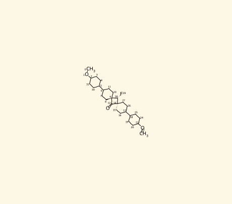 COC1CCC(C2CC[C@]3(CC2)C(=O)[C@@]2(CCC(C4CCC(OC)CC4)CC2)[C@H]3F)CC1